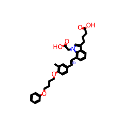 Cc1cc(/C=C/c2cccc3c(CCCC(=O)O)cn(CC(=O)O)c23)ccc1OCCCCOc1ccccc1